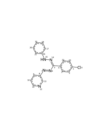 Clc1ccc(C(N=Nc2cccnc2)=NNc2ccccc2)cc1